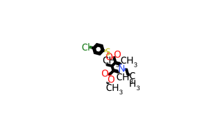 CCCN1C(C)=C(C(=O)OCC)C(CC)C(C(=O)OSc2ccc(Cl)cc2)=C1C